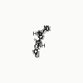 Cc1nc(NC(=O)Cc2cccc(Cl)c2)sc1-c1ccc2c(C=Cc3ccccn3)n[nH]c2c1